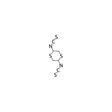 S=C=NC1CSC(N=C=S)CS1